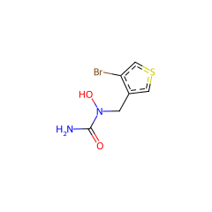 NC(=O)N(O)Cc1cscc1Br